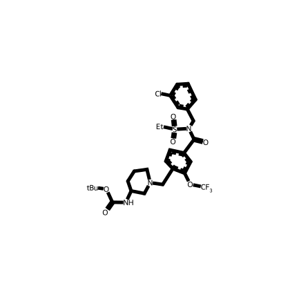 CCS(=O)(=O)N(Cc1cccc(Cl)c1)C(=O)c1ccc(CN2CCCC(NC(=O)OC(C)(C)C)C2)c(OC(F)(F)F)c1